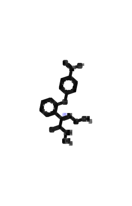 CNC(=O)/C(=N\OC)c1ccccc1Oc1ccc([N+](=O)[O-])cc1